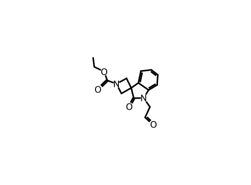 CCOC(=O)N1CC2(C1)C(=O)N(CC=O)c1ccccc12